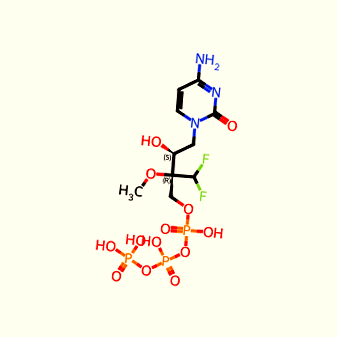 CO[C@@](COP(=O)(O)OP(=O)(O)OP(=O)(O)O)(C(F)F)[C@@H](O)Cn1ccc(N)nc1=O